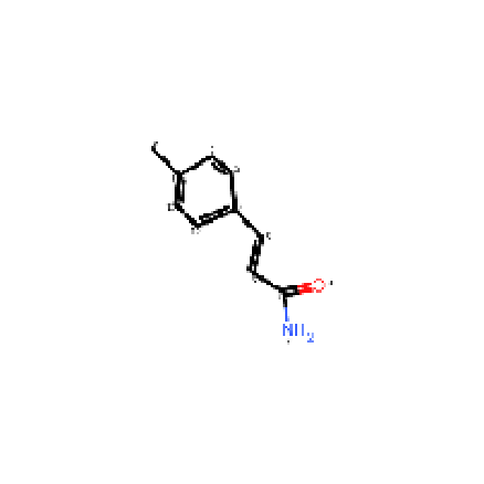 Cc1ccc(C=CC(N)=O)cc1